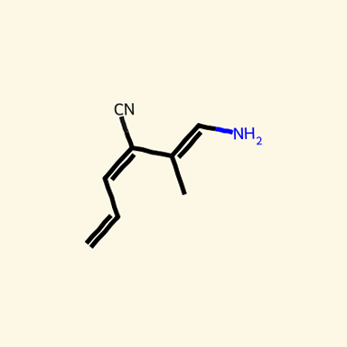 C=C/C=C(C#N)\C(C)=C\N